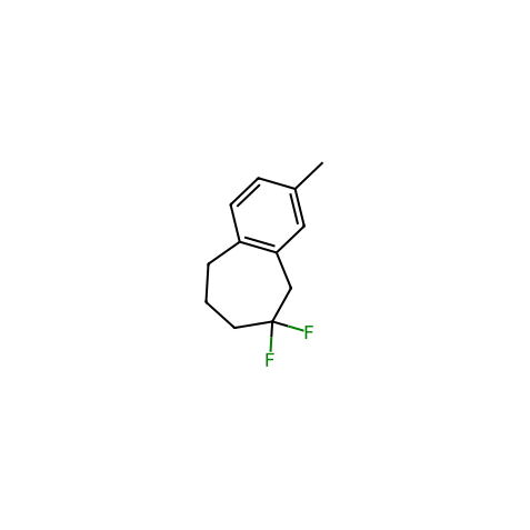 Cc1ccc2c(c1)CC(F)(F)CCC2